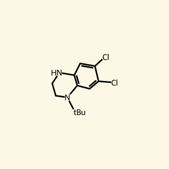 CC(C)(C)N1CCNc2cc(Cl)c(Cl)cc21